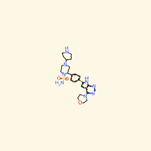 NS(=O)(=O)N1CCN(C2CCNCC2)CC1c1ccc(-c2cc3c(N4CCOCC4)ncnc3[nH]2)cc1